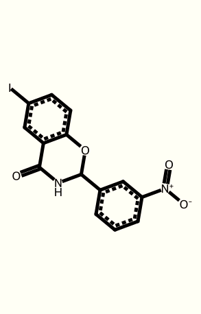 O=C1NC(c2cccc([N+](=O)[O-])c2)Oc2ccc(I)cc21